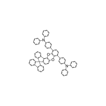 c1ccc(N(c2ccccc2)c2ccc(-c3ccc(-c4ccc(N(c5ccccc5)c5ccccc5)cc4)c4c3Oc3ccc5c(c3O4)-c3ccccc3C53c4ccccc4-c4ccccc43)cc2)cc1